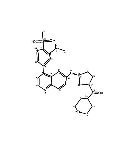 CNc1cc(-c2ccnc3ccc(O[C@H]4CCN(C(=O)C5CCOCC5)C4)cc23)cnc1S(C)(=O)=O